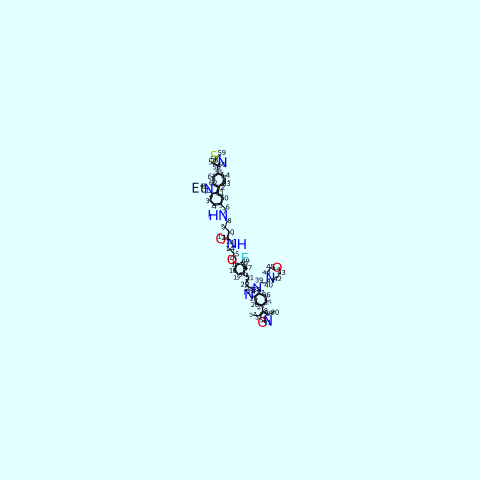 CCn1c2ccc(CNCCCC(=O)NCCOc3ccc(CCc4nc5cc(-c6c(C)noc6C)ccc5n4CCN4CCOCC4)cc3F)cc2c2ccc(-c3cscn3)cc21